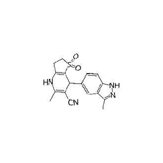 CC1=C(C#N)C(c2ccc3[nH]nc(C)c3c2)C2=C(CCS2(=O)=O)N1